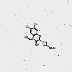 CNC1CN(c2nc3nc(C#N)c(Cl)cc3n(C=N)c2=N)C1